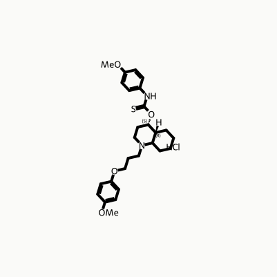 COc1ccc(NC(=S)O[C@H]2CCN(CCCOc3ccc(OC)cc3)C3CCCC[C@H]32)cc1.Cl